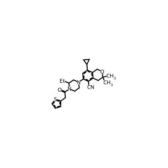 CCC1CN(c2cc(C3CC3)c3c(c2C#N)CC(C)(C)OC3)CCN1C(=O)Cc1cccs1